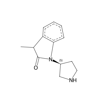 CC1C(=O)N([C@H]2CCNC2)c2ccccc21